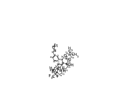 CCON=Cc1ccc([C@H]2C[C@@]3(C)[C@@H](CC[C@@]3(O)C(F)(F)C(F)(F)F)[C@@H]3CC[C@@]4(O)CC5(CCC4=C32)OCC(C)(C)CO5)cc1